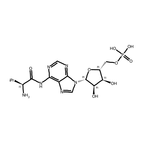 CC(C)[C@H](N)C(=O)Nc1ncnc2c1ncn2[C@@H]1O[C@H](COP(=O)(O)O)[C@@H](O)[C@H]1O